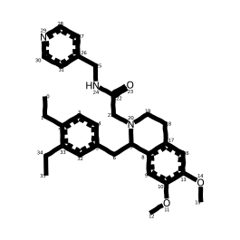 CCc1ccc(CC2c3cc(OC)c(OC)cc3CCN2CC(=O)NCc2ccncc2)cc1CC